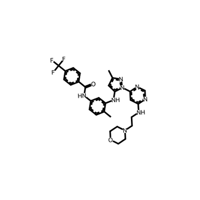 Cc1cc(Nc2cc(NC(=O)c3ccc(C(F)(F)F)cc3)ccc2C)n(-c2cc(NCCN3CCOCC3)ncn2)n1